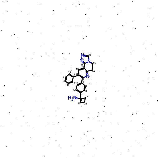 NC1(c2ccc(-c3nc4c(cc3-c3ccccc3)-c3nncn3CC4)cc2)CCC1